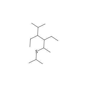 CCC(C(C)C)C(CC)C(C)SC(C)C